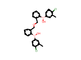 Cc1cc(B(O)c2ccccc2COCc2ccccc2B(O)c2ccc(Cl)c(C)c2)ccc1Cl